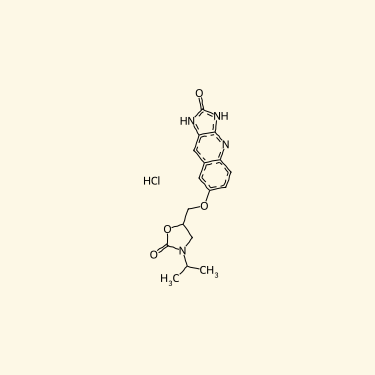 CC(C)N1CC(COc2ccc3nc4[nH]c(=O)[nH]c4cc3c2)OC1=O.Cl